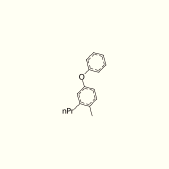 CCCc1cc(Oc2ccccc2)ccc1C